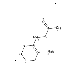 O=C(O)CNC1=CCCCC1.[NaH]